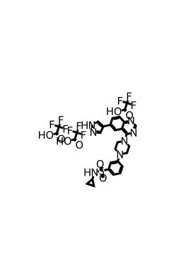 O=C(O)C(F)(F)F.O=C(O)C(F)(F)F.O=C(O)C(F)(F)F.O=S(=O)(NC1CC1)c1cccc(N2CCN(c3ncnc4ccc(-c5cn[nH]c5)cc34)CC2)c1